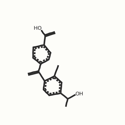 C=C(O)c1ccc(C(=C)c2ccc(C(C)O)cc2C)cc1